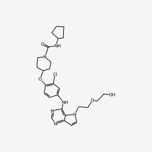 O=C(NC1CCCC1)N1CCC(Oc2ccc(Nc3ncnc4ccn(CCOCCO)c34)cc2Cl)CC1